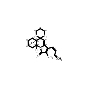 C=C/C=C\C1=C(C)C(=O)N2C1=CC1(SCCCS1)[C@@H]1CCCC[C@H]12